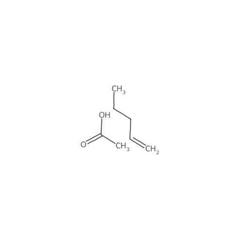 C=CCCC.CC(=O)O